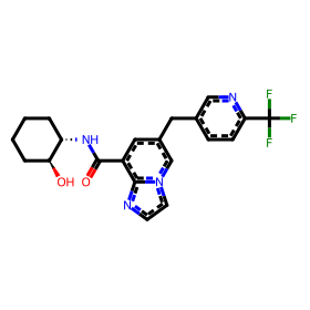 O=C(N[C@H]1CCCC[C@@H]1O)c1cc(Cc2ccc(C(F)(F)F)nc2)cn2ccnc12